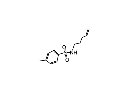 C=CCCCNS(=O)(=O)c1ccc(C)cc1